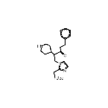 CCCCCCCCCCCc1nccn1CC(C(=O)CCc1ccccc1)C1CCNCC1